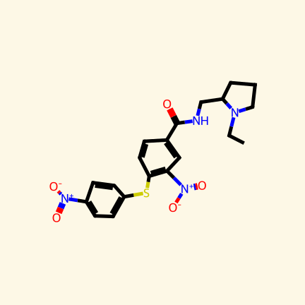 CCN1CCCC1CNC(=O)c1ccc(Sc2ccc([N+](=O)[O-])cc2)c([N+](=O)[O-])c1